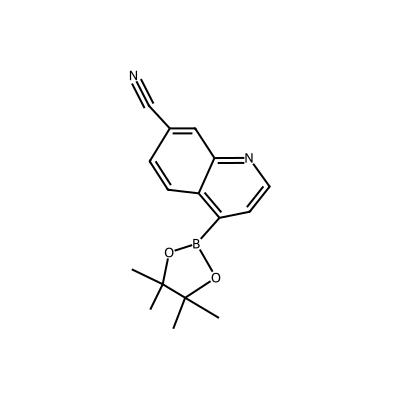 CC1(C)OB(c2ccnc3cc(C#N)ccc23)OC1(C)C